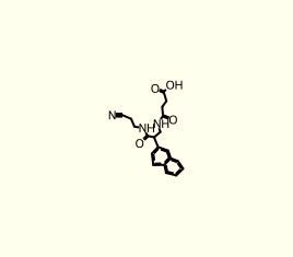 N#CCCNC(=O)C(CNC(=O)CCC(=O)O)c1ccc2ccccc2c1